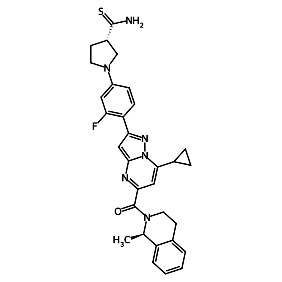 C[C@@H]1c2ccccc2CCN1C(=O)c1cc(C2CC2)n2nc(-c3ccc(N4CC[C@H](C(N)=S)C4)cc3F)cc2n1